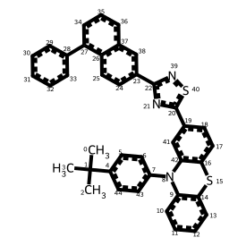 CC(C)(C)c1ccc(N2c3ccccc3Sc3ccc(-c4nc(-c5ccc6c(-c7ccccc7)cccc6c5)ns4)cc32)cc1